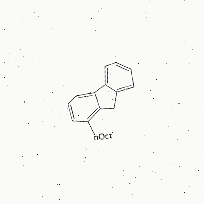 CCCCCCCCc1cccc2c1Cc1ccccc1-2